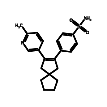 Cc1ccc(C2=C(c3ccc(S(N)(=O)=O)cc3)CC3(CCCC3)C2)cn1